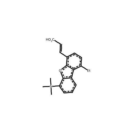 CCc1ccc(C=CC(=O)O)c2oc3c([Si](C)(C)C)cccc3c12